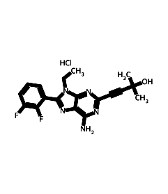 CCn1c(-c2cccc(F)c2F)nc2c(N)nc(C#CC(C)(C)O)nc21.Cl